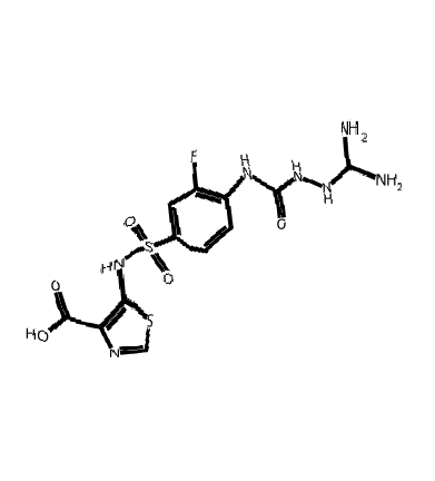 NC(N)NNC(=O)Nc1ccc(S(=O)(=O)Nc2scnc2C(=O)O)cc1F